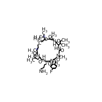 C/C=C(\C)[C@H]1OC(=O)[C@@H](C)NC(=O)C(C(C)CC)NC(=O)CN(C)C(=O)[C@@H](Cc2ccc(F)cc2)N(C)C(=O)[C@H](CCCCN)NC(=O)[C@@H](CC(C)C)NC(=O)/C(C)=C/CC[C@@H]1C